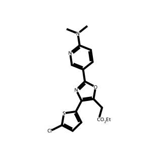 CCOC(=O)Cc1oc(-c2ccc(N(C)C)nc2)nc1-c1ccc(Cl)s1